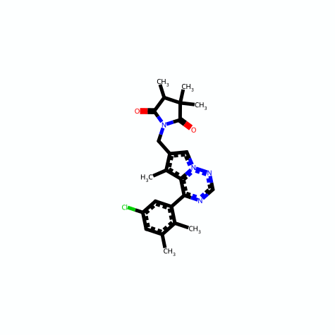 Cc1cc(Cl)cc(-c2ncnn3cc(CN4C(=O)C(C)C(C)(C)C4=O)c(C)c23)c1C